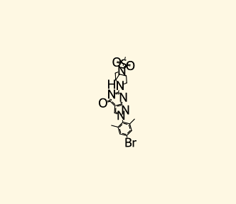 Cc1cc(Br)cc(C)c1-n1cc2c(=O)[nH]c(N3CC4CC3CN4S(C)(=O)=O)nc2n1